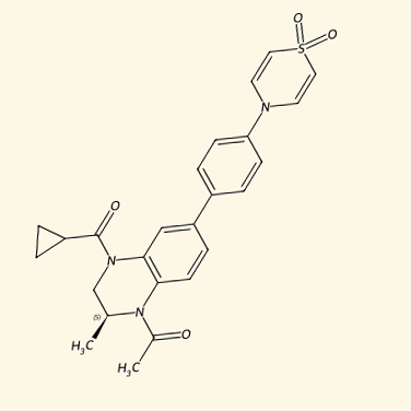 CC(=O)N1c2ccc(-c3ccc(N4C=CS(=O)(=O)C=C4)cc3)cc2N(C(=O)C2CC2)C[C@@H]1C